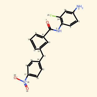 Nc1ccc(NC(=O)c2cccc(Cc3ccc([N+](=O)[O-])cc3)c2)c(F)c1